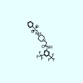 O=C(CN1CCC(NCS(=O)(=O)c2ccccc2)CC1)Nc1cc(C(F)(F)F)cc(C(F)(F)F)c1